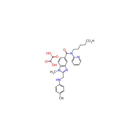 Cn1c(CNc2ccc(C#N)cc2)nc2cc(C(=O)N(CCCCC(=O)O)c3ccccn3)ccc21.O=C(O)C(=O)O